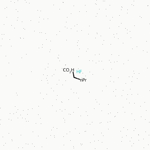 CCCCC(=O)O.F